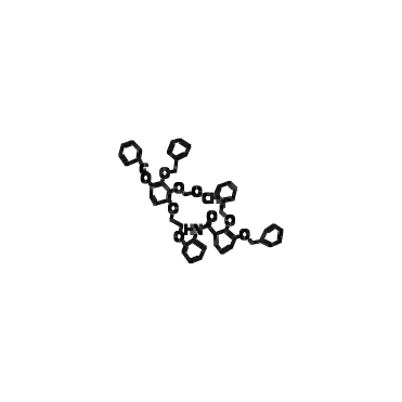 COCOc1c(OCCOc2ccccc2NC(=O)c2cccc(OCc3ccccc3)c2OCc2ccccc2)ccc(OCc2ccccc2)c1OCc1ccccc1